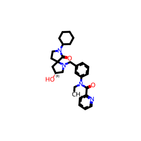 CCN(C(=O)c1ccccn1)c1cccc(CN2C[C@H](O)CC23CCN(C2CCCCC2)C3=O)c1